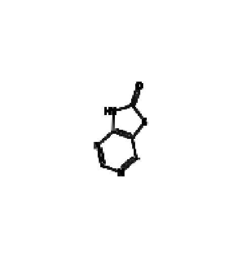 O=c1[nH]c2ncn[c]c2s1